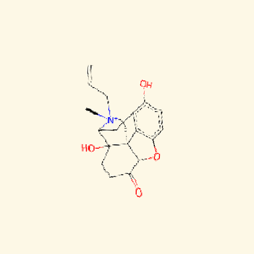 C=CC[N@+]1(C)CC[C@@]23c4c5ccc(O)c4CC1C2(O)CCC(=O)C3O5